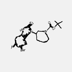 CC(C)(C)OC(=O)N1CCCC(n2c(=O)[nH]c3cc(F)c(Br)cc32)C1